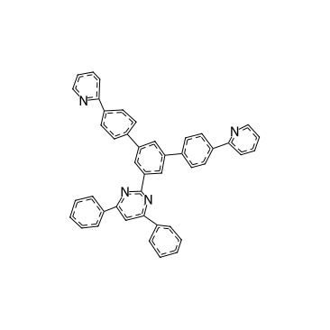 c1ccc(-c2cc(-c3ccccc3)nc(-c3cc(-c4ccc(-c5ccccn5)cc4)cc(-c4ccc(-c5ccccn5)cc4)c3)n2)cc1